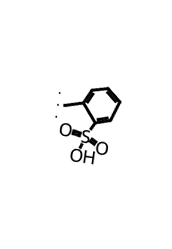 [C]c1ccccc1S(=O)(=O)O